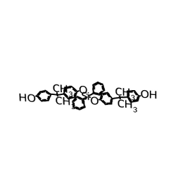 CC(C)(c1ccc(O)cc1)c1ccc(O[Si](Oc2ccc(C(C)(C)c3ccc(O)cc3)cc2)(c2ccccc2)c2ccccc2)cc1